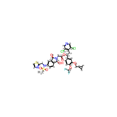 CS(=O)(=O)N(Cc1nccs1)c1ccc2c(c1)C(=O)N(CC(=O)O[C@@H](Cc1c(Cl)cncc1Cl)c1ccc(OC(F)F)c(OCC3CC3)c1)C2O